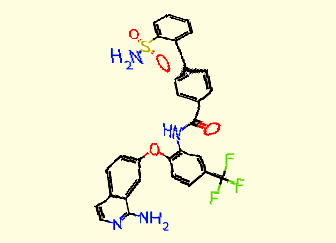 Nc1nccc2ccc(Oc3ccc(C(F)(F)F)cc3NC(=O)c3ccc(-c4ccccc4S(N)(=O)=O)cc3)cc12